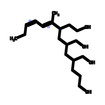 CC/C=C\C=C(/C)C(CCO)CC(CO)CC(CO)CCCO